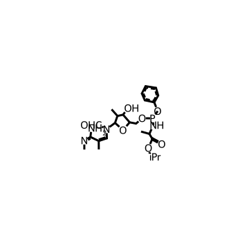 C/N=C(N)\C(C)=C/N(C=O)C1OC(COP(NC(C)C(=O)OC(C)C)Oc2ccccc2)C(O)C1C